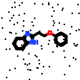 c1ccc(OCCc2nc3ccccc3[nH]2)cc1